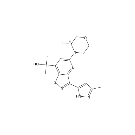 Cc1cc(-c2nsc3c(C(C)(C)O)cc(N4CCOC[C@H]4C)nc23)[nH]n1